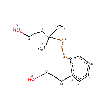 CC(C)(CCO)SSc1ccccc1CCO